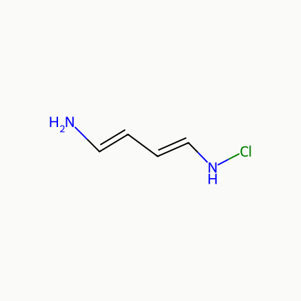 NC=CC=CNCl